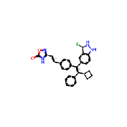 O=c1[nH]c(/C=C/c2ccc(/C(=C(\c3ccccc3)C3CCC3)c3ccc4c(c3)C(F)NN4)cc2)no1